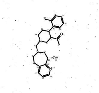 CC(=O)C1CN(C[C@@H]2CCc3cccnc3[C@@H](O)C2)CCC1c1ccccc1C